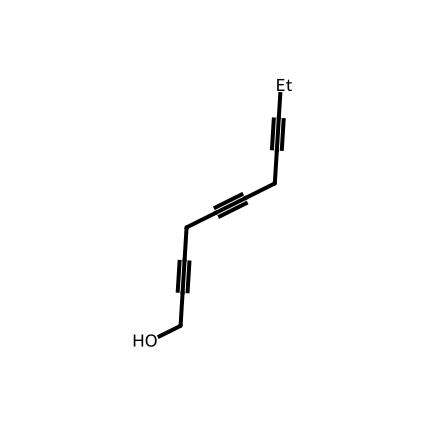 CCC#CCC#CCC#CCO